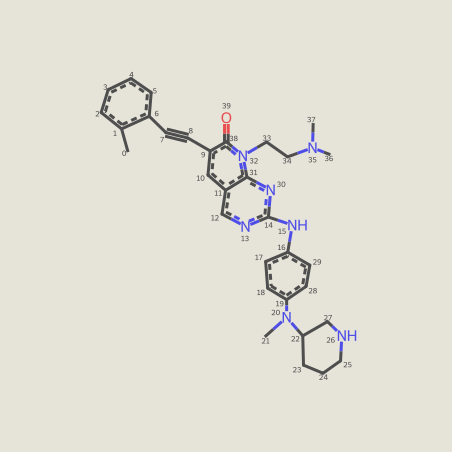 Cc1ccccc1C#Cc1cc2cnc(Nc3ccc(N(C)C4CCCNC4)cc3)nc2n(CCN(C)C)c1=O